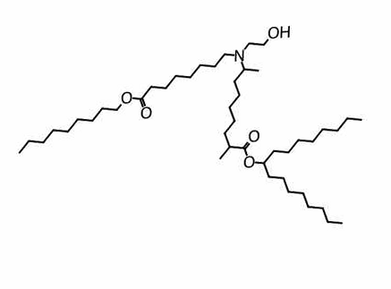 CCCCCCCCCOC(=O)CCCCCCCN(CCO)C(C)CCCCCC(C)C(=O)OC(CCCCCCCC)CCCCCCCC